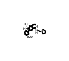 COc1ccc2[nH]c3c(C)c4ccnc(NCCN5CCCC5)c4cc3c2c1